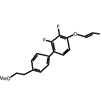 C/C=C/Oc1ccc(-c2ccc(CCOC)cc2)c(F)c1F